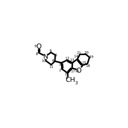 Cc1cc(C2CCN(C=O)CC2)cc2c3c(oc12)CCCC3